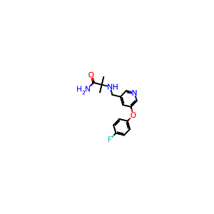 CC(C)(NCc1cncc(Oc2ccc(F)cc2)c1)C(N)=O